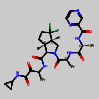 CCCC(NC(=O)C1[C@H]2CCC(F)(F)[C@H]2CN1C(=O)[C@@H](NC(=O)[C@H](NC(=O)c1cnccn1)C(C)C)C(C)C)C(=O)C(=O)NC1CC1